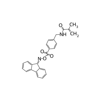 C=C(C)C(=O)NCc1ccc(S(=O)(=O)ON=C2c3ccccc3-c3ccccc32)cc1